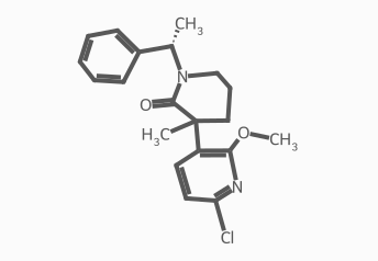 COc1nc(Cl)ccc1C1(C)CCCN([C@@H](C)c2ccccc2)C1=O